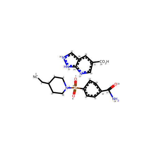 N#CCC1CCN(S(=O)(=O)c2ccc(C(N)=O)cc2)CC1.O=C(O)c1cnc2[nH]ncc2c1